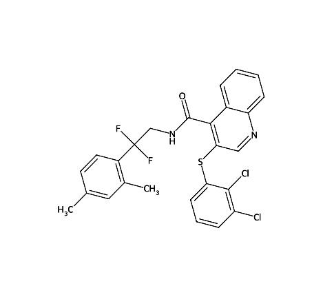 Cc1ccc(C(F)(F)CNC(=O)c2c(Sc3cccc(Cl)c3Cl)cnc3ccccc23)c(C)c1